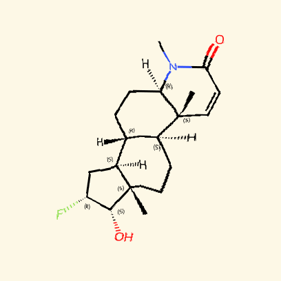 CN1C(=O)C=C[C@]2(C)[C@H]3CC[C@]4(C)[C@H](O)[C@H](F)C[C@H]4[C@@H]3CC[C@@H]12